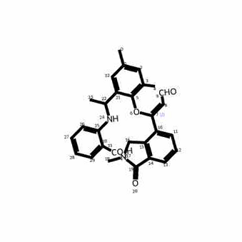 Cc1cc(C)c(O/C(=C\C=O)c2cccc3c2CN(C)C3=O)c(C(C)Nc2ccccc2C(=O)O)c1